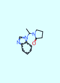 CC(N1CCCC1=O)n1cnc2ccccc21